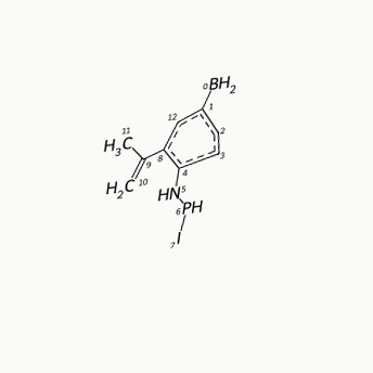 Bc1ccc(NPI)c(C(=C)C)c1